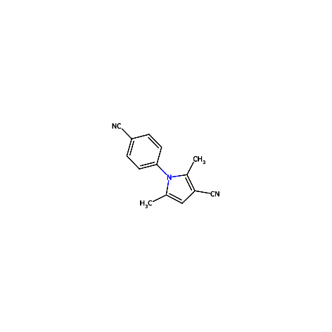 Cc1cc(C#N)c(C)n1-c1ccc(C#N)cc1